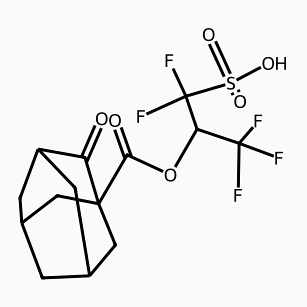 O=C(OC(C(F)(F)F)C(F)(F)S(=O)(=O)O)C12CC3CC(CC(C3)C1=O)C2